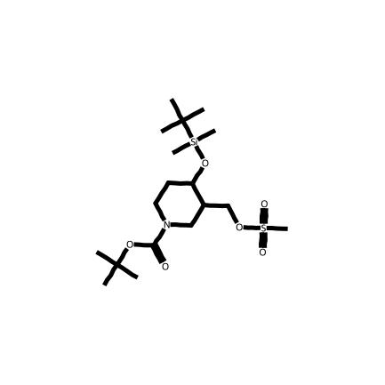 CC(C)(C)OC(=O)N1CCC(O[Si](C)(C)C(C)(C)C)C(COS(C)(=O)=O)C1